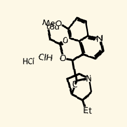 CCC1CN2CCC1CC2C(OC(=O)CC(C)(C)C)c1ccnc2ccc(OC)cc12.Cl.Cl